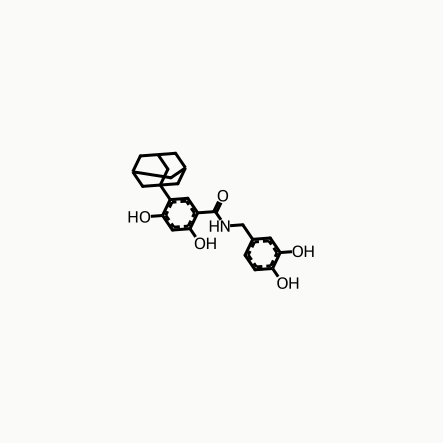 O=C(NCc1ccc(O)c(O)c1)c1cc(C23CC4CC(CC(C4)C2)C3)c(O)cc1O